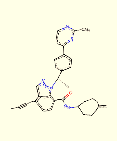 C=C1CCC(NC(=O)c2ccc(C#CC)c3cnn([C@@H](C)c4ccc(-c5ccnc(OC)n5)cc4)c23)CC1